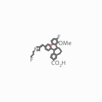 COc1c(F)ccc(C)c1C1=C(c2ccc(C=C3CN(CCCF)C3)cc2)c2ccc(C(=O)O)cc2CCC1